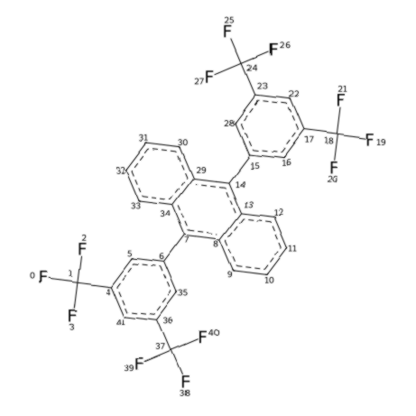 FC(F)(F)c1cc(-c2c3ccccc3c(-c3cc(C(F)(F)F)cc(C(F)(F)F)c3)c3ccccc23)cc(C(F)(F)F)c1